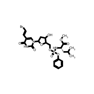 COC(=O)[C@H](CC(C)C)NP(=O)(OCC1OC(n2cc(/C=C/Br)c(=O)[nH]c2=O)CC1O)Oc1ccccc1